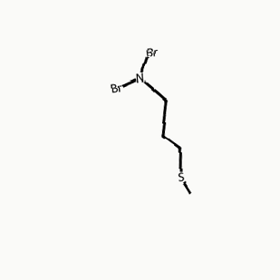 CSCCCN(Br)Br